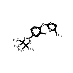 Cc1csc(Oc2ccc(B3OC(C)(C)C(C)(C)O3)cc2F)n1